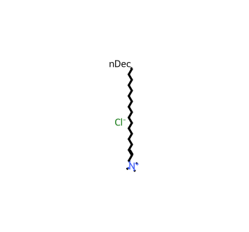 CCCCCCCCCCCCCCCCCCCCCCCCCC=CC[N+](C)(C)C.[Cl-]